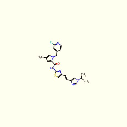 Cc1cc(C(=O)Nc2nc(C=Cc3cn(C(C)C)cn3)cs2)n(Cc2ccnc(F)c2)c1